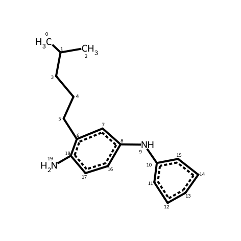 CC(C)CCCc1cc(Nc2ccccc2)ccc1N